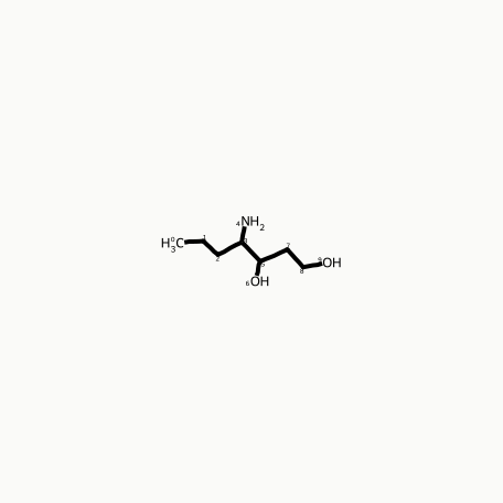 CCCC(N)C(O)CCO